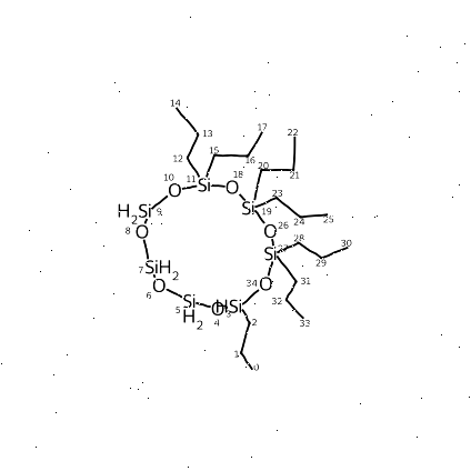 CCC[SiH]1O[SiH2]O[SiH2]O[SiH2]O[Si](CCC)(CCC)O[Si](CCC)(CCC)O[Si](CCC)(CCC)O1